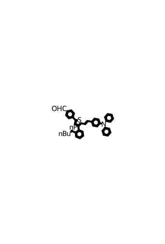 CCCCC(CCC)c1ccccc1-c1cc(-c2ccc(C=O)cc2)sc1C=Cc1ccc(N(c2ccccc2)c2ccccc2)cc1